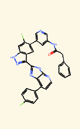 O=C(Cc1ccccc1)Nc1cncc(-c2cc3c(-c4nc5c(-c6ccc(F)cc6)ccnc5[nH]4)n[nH]c3cc2F)c1